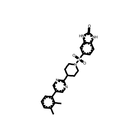 Cc1cccc(-c2cnc(C3CCN(S(=O)(=O)c4ccc5[nH]c(=O)[nH]c5c4)CC3)nc2)c1C